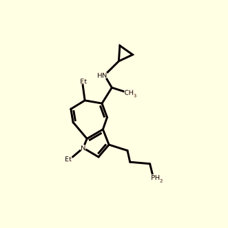 CCC1C=Cc2c(c(CCCP)cn2CC)C=C1C(C)NC1CC1